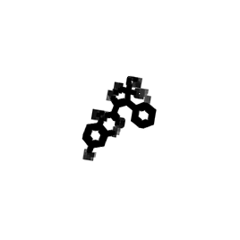 N#CC1(C(F)(F)F)N=NC(C(=O)Nc2ccc(Br)cc2F)=C1c1ccccc1